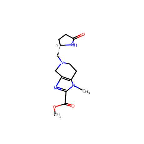 COC(=O)c1nc2c(n1C)CCN(C[C@@H]1CCC(=O)N1)C2